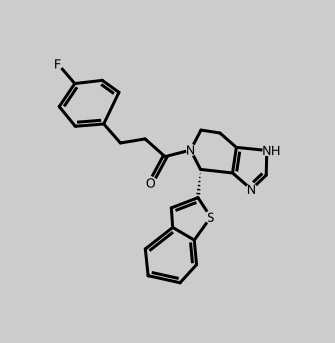 O=C(CCc1ccc(F)cc1)N1CCc2[nH]cnc2[C@@H]1c1cc2ccccc2s1